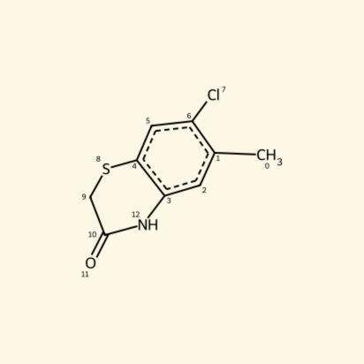 Cc1cc2c(cc1Cl)SCC(=O)N2